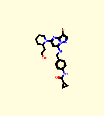 O=C(Nc1ccc(CNc2cc(N3CCCCC3CCO)nc3c(Br)cnn23)cc1)C1CC1